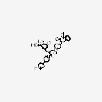 C#Cc1cc(C[C@@H](CC(=O)N2CCC(N3Cc4ccccc4NC3=O)CC2)C(=O)N2CCC(C3CCNCC3)CC2)cc(Cl)c1N